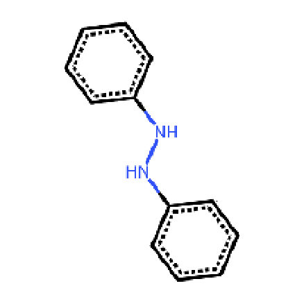 [c]1ccccc1NNc1ccccc1